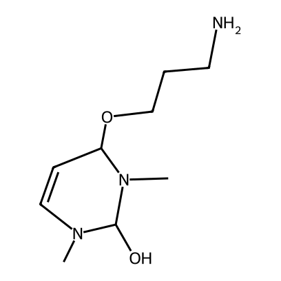 CN1C=CC(OCCCN)N(C)C1O